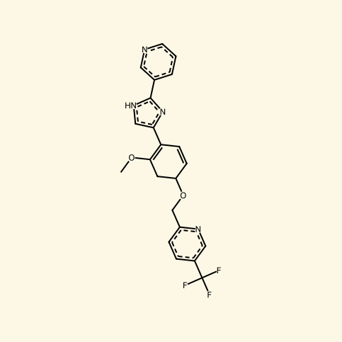 COC1=C(c2c[nH]c(-c3cccnc3)n2)C=CC(OCc2ccc(C(F)(F)F)cn2)C1